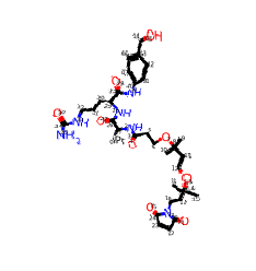 CC(C)C(NC(=O)CCOC(C)(C)CCOC(C)(C)CCN1C(=O)C=CC1=O)C(=O)N[C@@H](CCCNC(N)=O)C(=O)Nc1ccc(CO)cc1